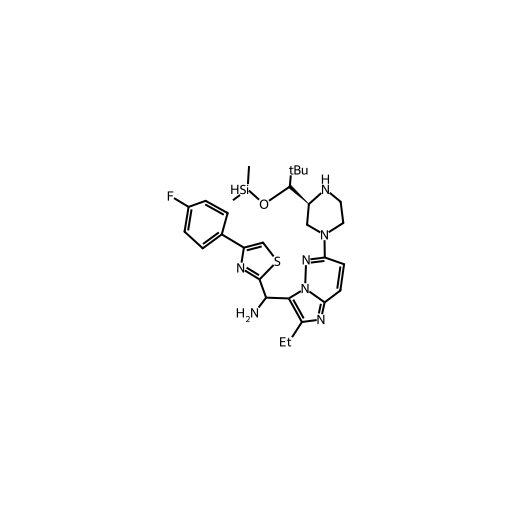 CCc1nc2ccc(N3CCN[C@H](C(O[SiH](C)C)C(C)(C)C)C3)nn2c1C(N)c1nc(-c2ccc(F)cc2)cs1